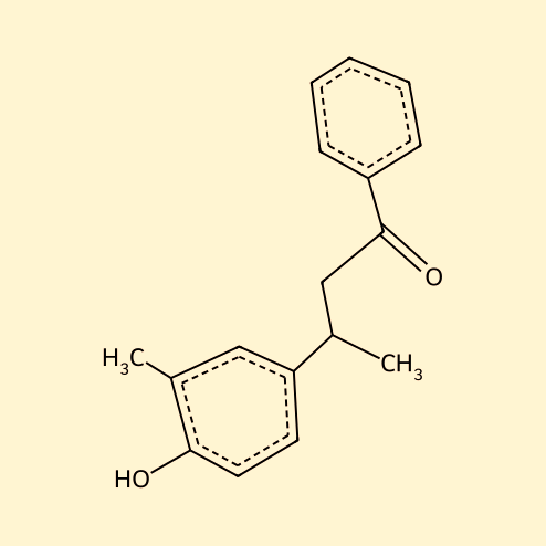 Cc1cc(C(C)CC(=O)c2ccccc2)ccc1O